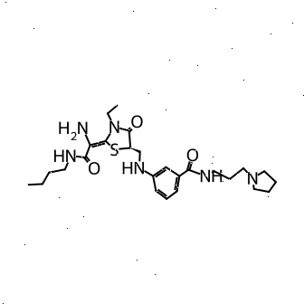 CCCCNC(=O)/C(N)=C1\S[C@H](CNc2cccc(C(=O)NCCCN3CCCC3)c2)C(=O)N1CC